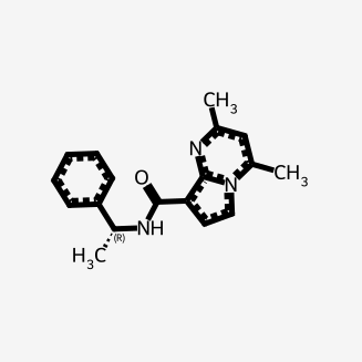 Cc1cc(C)n2ccc(C(=O)N[C@H](C)c3ccccc3)c2n1